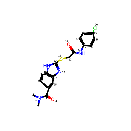 CN(C)C(=O)c1ccc2[nH]c(SCC(=O)Nc3ccc(Cl)cc3)nc2c1